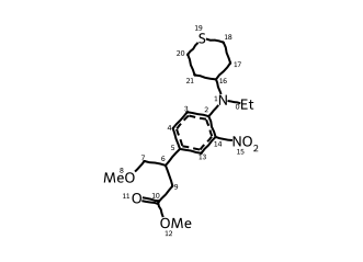 CCN(c1ccc(C(COC)CC(=O)OC)cc1[N+](=O)[O-])C1CCSCC1